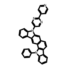 c1ccc(-n2c3ccccc3c3ccc4cc5c(cc4c32)c2ccccc2n5-c2cnc(-c3ccncc3)nc2)cc1